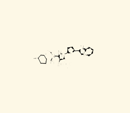 CCOC(=O)c1cn(-c2ccc(-c3cn4ccccc4n3)s2)nc1N(C(=O)[C@H]1CC[C@H](C)CC1)C(C)C